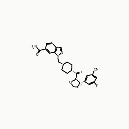 N#Cc1cc(F)cc([C@@H]2CCON2C(=O)[C@H]2CC[C@H](Cn3ncc4ncc(C(N)=O)cc43)CC2)c1